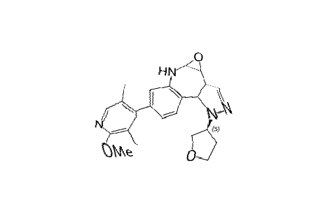 COc1ncc(C)c(-c2ccc3c(c2)NC2OC2C2C=NN([C@H]4CCOC4)C32)c1C